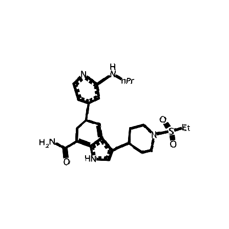 CCCNc1cc(C2C=c3c(C4CCN(S(=O)(=O)CC)CC4)c[nH]c3=C(C(N)=O)C2)ccn1